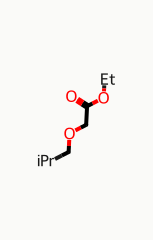 CCOC(=O)COCC(C)C